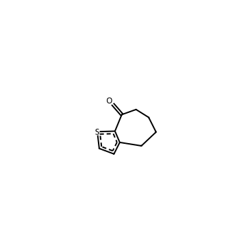 O=C1CCCCc2ccsc21